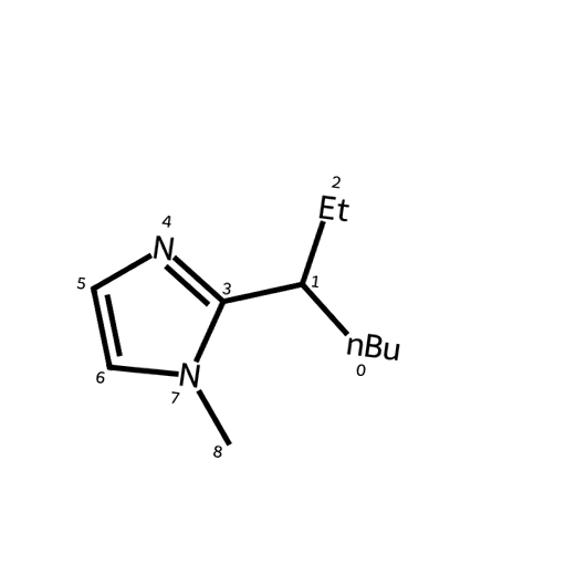 CCCCC(CC)c1nccn1C